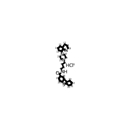 Cl.O=C(NCCCCN1CCN(c2cccc3cccnc23)CC1)c1ccc2sc3ccccc3c2c1